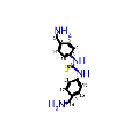 NCc1ccc(NC(=S)Nc2ccc(CN)cc2)cc1